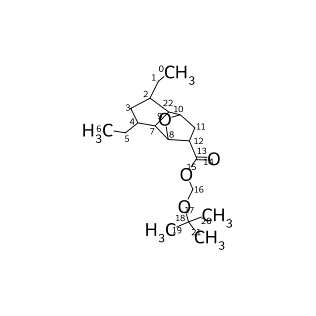 CCC1CC(CC)C2C3OC(CC3C(=O)OCOC(C)(C)C)C12